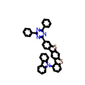 c1ccc(-c2nc(-c3ccccc3)nc(-c3ccc4c(c3)sc3cc5sc6cccc(-n7c8ccccc8c8ccccc87)c6c5cc34)n2)cc1